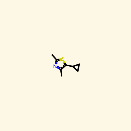 Cc1nc(C)c(C2CC2)s1